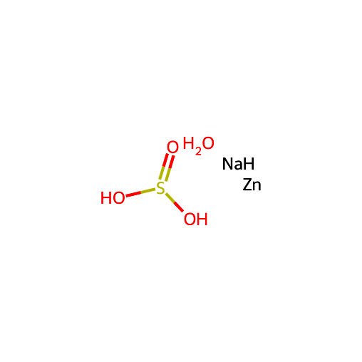 O.O=S(O)O.[NaH].[Zn]